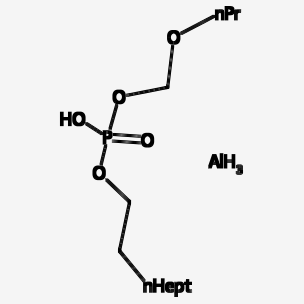 CCCCCCCCCOP(=O)(O)OCOCCC.[AlH3]